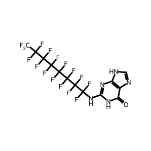 O=c1[nH]c(NC(F)(F)C(F)(F)C(F)(F)C(F)(F)C(F)(F)C(F)(F)C(F)(F)C(F)(F)F)nc2[nH]cnc12